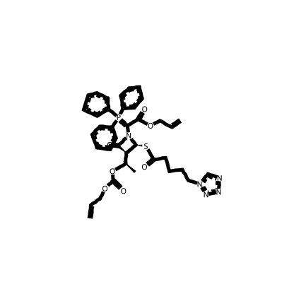 C=CCOC(=O)O[C@H](C)[C@H]1C(=O)N(C(C(=O)OCC=C)=P(c2ccccc2)(c2ccccc2)c2ccccc2)[C@@H]1SC(=O)CCCCn1cnnn1